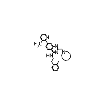 Cc1ccccc1CCNc1nc(CN2CCCCCCC2)nc2cc(-c3ncccc3C(F)(F)F)ccc12